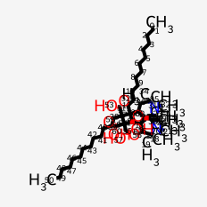 CCCCCCCCCCCCCC(CC1CC(C)(C)N(C)C(C)(C)C1)(C1CC(C)(C)N(C)C(C)(C)C1)C(CCCCCCCCCCCCC)(C(=O)O)C(C(=O)O)(C(=O)O)C(=O)O